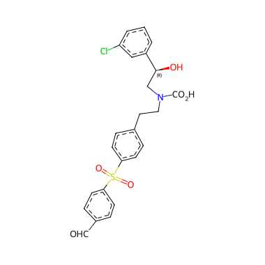 O=Cc1ccc(S(=O)(=O)c2ccc(CCN(C[C@H](O)c3cccc(Cl)c3)C(=O)O)cc2)cc1